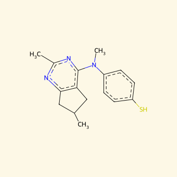 Cc1nc2c(c(N(C)c3ccc(S)cc3)n1)CC(C)C2